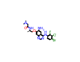 C[C@H](COc1cc2ncnc(Nc3ccc(Br)c(Cl)c3F)c2cc1N)NC(=O)CN(C)C